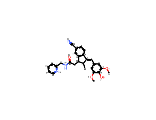 COc1cc(C=C2c3ccc(C#N)cc3C(CC(=O)NCc3ccccn3)C2C)cc(OC)c1O